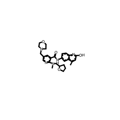 Cc1cc(O)nc2ccc(NC(=O)c3cc(CN4CCOCC4)cnc3N(C)CC3CCCO3)cc12